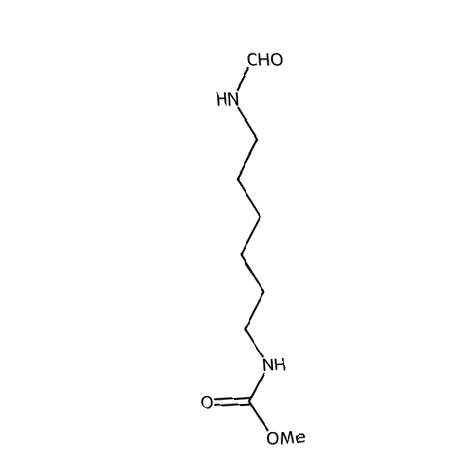 COC(=O)NCCCCCCNC=O